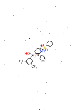 O=S(=O)(c1ccccc1)[C@@H]1C[C@]2(c3ccccc3)N[C@H]1CC[C@H]2O[C@@H](CO)c1cc(C(F)(F)F)cc(C(F)(F)F)c1